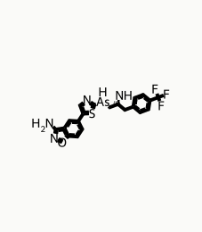 Nc1noc2ccc(-c3cnc([AsH]C[C@@H](N)Cc4ccc(C(F)(F)F)cc4)s3)cc12